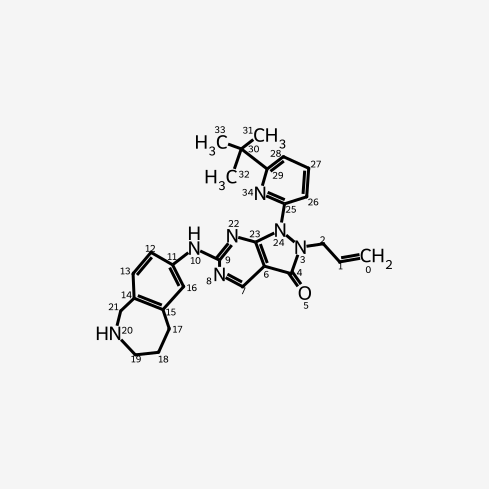 C=CCn1c(=O)c2cnc(Nc3ccc4c(c3)CCCNC4)nc2n1-c1cccc(C(C)(C)C)n1